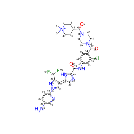 C[N+]1(C)CCC(C(=O)N2CCN(C(=O)c3ccc(NC(=O)c4ncc(-c5cn(-c6ccc(N)cn6)nc5C(F)F)[nH]4)cc3Cl)CC2)CC1